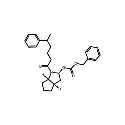 CC(CCCC(=O)N1[C@@H](OC(=O)OCc2ccccc2)C[C@@H]2CCC[C@@H]21)c1ccccc1